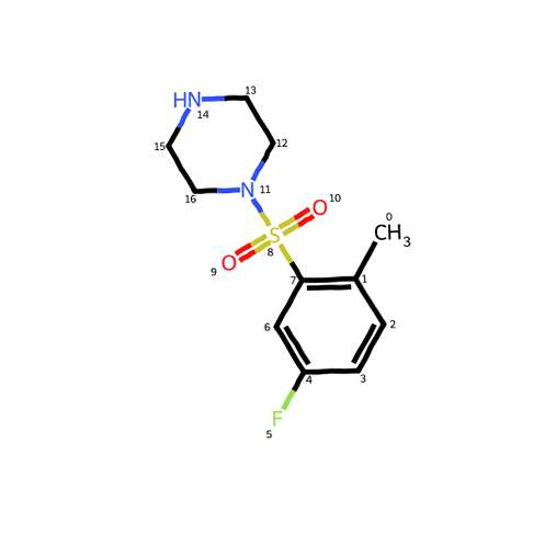 Cc1ccc(F)cc1S(=O)(=O)N1CCNCC1